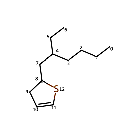 CCCCC(CC)C[C]1CC=CS1